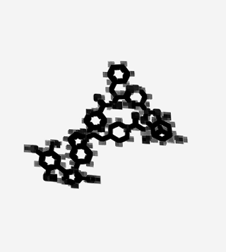 CCCc1cnc(C(=O)N[C@@H](Cc2ccccc2)C(=O)N[C@@H](CC(C)C)B2O[C@H]3C[C@H]4C[C@H](C4C)[C@@]3(CC(=O)N3CCC(CCn4ccc5cc(-n6c(O)nnc6-c6cc(C(C)C)c(O)cc6O)ccc54)CC3)O2)cn1